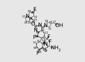 Nc1nc2c(-c3c(C(F)(F)F)cc4c(N5CC(CO)C5)nc(OC[C@@]56CCCN5C[C@H](F)C6)nc4c3F)ccc(F)c2s1